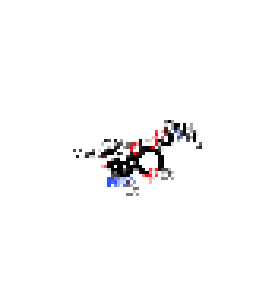 CCc1nc2c([nH]1)[C@@H]1C[C@@H](OC(OC)[C@H](COC)OC)C[C@H]1[C@@H]1C=C3C(=O)[C@H](C)[C@@H](O[C@H]4CC[C@H](N(C)C)C(C)O4)CCC[C@H](CC)OC(=O)C[C@H]3[C@H]21